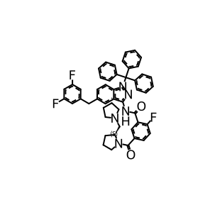 O=C(Nc1nn(C(c2ccccc2)(c2ccccc2)c2ccccc2)c2ccc(Cc3cc(F)cc(F)c3)cc12)c1cc(C(=O)N2CCC[C@H]2CN2CCCC2)ccc1F